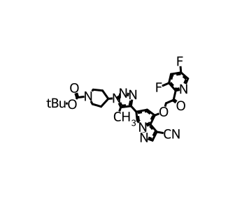 Cc1c(-c2cc(OCC(=O)c3ncc(F)cc3F)c3c(C#N)cnn3c2)nnn1C1CCN(C(=O)OC(C)(C)C)CC1